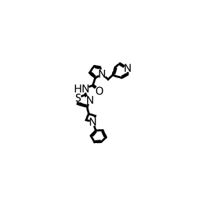 O=C(Nc1nc(C2CN(c3ccccc3)C2)cs1)c1cccn1Cc1ccncc1